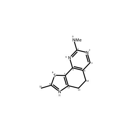 CNc1ncc2c(n1)-c1sc(C)nc1CC2